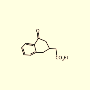 CCOC(=O)CC1CC(=O)c2ccccc2C1